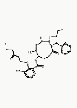 CCCOC1[C@H](C)OC(O)C(NC(=O)c2nccc(O)c2OCOC(=O)CCC)COC(=O)[C@@H]1Cc1ccccc1